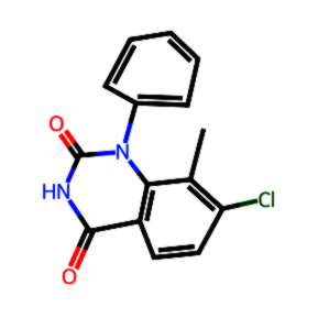 Cc1c(Cl)ccc2c(=O)[nH]c(=O)n(-c3ccccc3)c12